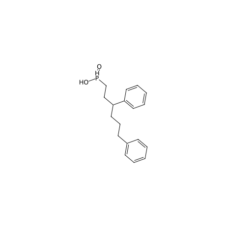 O=[PH](O)CCC(CCCc1ccccc1)c1ccccc1